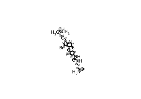 C[Si](C)(C)CCOCn1cc(Br)c2c(Oc3c(F)cc(NC(=O)NCCCC(N)=O)cc3F)ccnc21